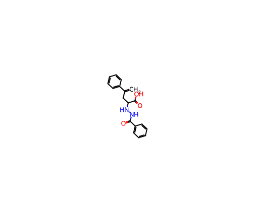 C=C(CC(NNC(=O)c1ccccc1)C(=O)O)c1ccccc1